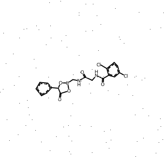 O=C(CNC(=O)c1cc(Cl)ccc1Cl)NCB1OC(=O)C(c2ccccc2)O1